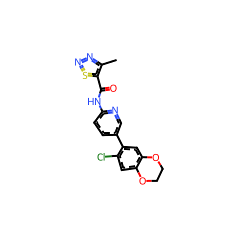 Cc1nnsc1C(=O)Nc1ccc(-c2cc3c(cc2Cl)OCCO3)cn1